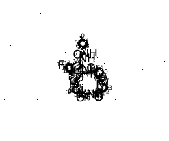 Cc1ccc(NC(=O)N[C@@H](Cc2cc(F)cc(F)c2)C(=O)N[C@H]2COC(=O)[C@@H]3C[C@@H](C)CN3C(=O)[C@H](C)NC(=O)[C@@H]3CCCCN3C(=O)[C@@H]3CCCCN3C2=O)cc1